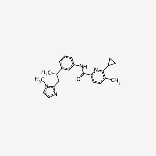 Cc1ccc(C(=O)Nc2cccc([C@@H](C)Cc3nccn3C)c2)nc1C1CC1